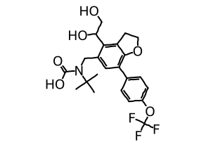 CC(C)(C)N(Cc1cc(-c2ccc(OC(F)(F)F)cc2)c2c(c1C(O)CO)CCO2)C(=O)O